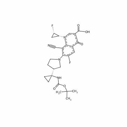 CC(C)(C)OC(=O)NC1([C@@H]2CCN(c3c(F)cc4c(=O)c(C(=O)O)cn([C@@H]5C[C@@H]5F)c4c3C#N)C2)CC1